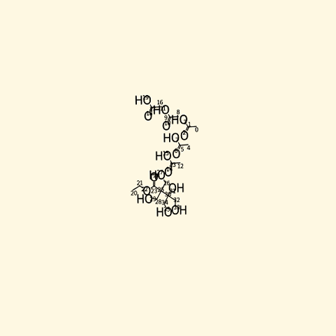 CC(=O)O.CC(=O)O.CC(=O)O.CC(=O)O.CC(=O)O.CCOC(=O)C(CO)(CO)C(O)(CO)CO